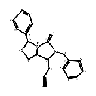 C=CCC1C2CS[C@@H](c3ccccc3)N2C(=O)N1Cc1ccccc1